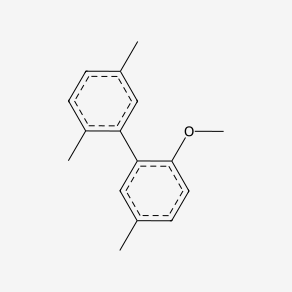 COc1ccc(C)cc1-c1cc(C)ccc1C